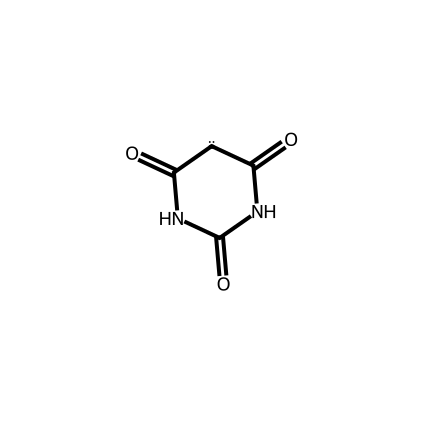 O=C1[C]C(=O)NC(=O)N1